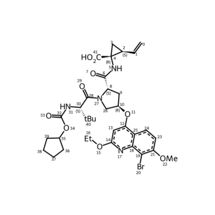 C=C[C@@H]1C[C@]1(NC(=O)[C@@H]1C[C@@H](Oc2cc(OCC)nc3c(Br)c(OC)ccc23)CN1C(=O)[C@@H](NC(=O)OC1CCCC1)C(C)(C)C)C(=O)O